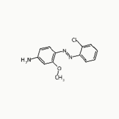 COc1cc(N)ccc1N=Nc1ccccc1Cl